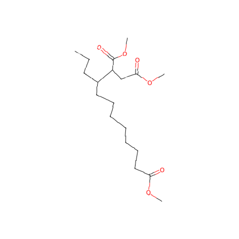 CCCC(CCCCCCCC(=O)OC)C(CC(=O)OC)C(=O)OC